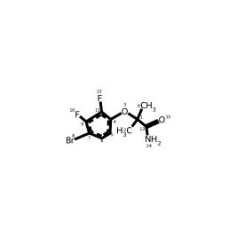 CC(C)(Oc1ccc(Br)c(F)c1F)C(N)=O